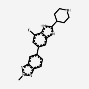 Cn1nc2ccc(-c3cc(F)c4[nH]c(C5CCNCC5)nc4c3)cc2n1